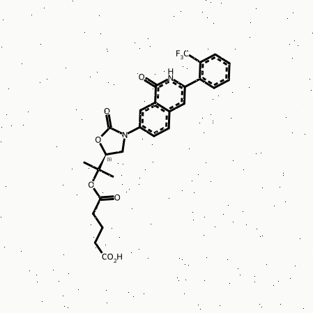 CC(C)(OC(=O)CCCC(=O)O)[C@@H]1CN(c2ccc3cc(-c4ccccc4C(F)(F)F)[nH]c(=O)c3c2)C(=O)O1